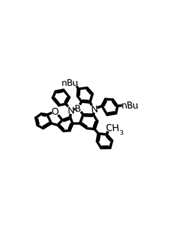 CCCCc1ccc(N2c3ccc(CCCC)cc3B3c4c(cc(-c5ccccc5C)cc42)-c2ccc4c(oc5ccccc54)c2N3c2ccccc2)cc1